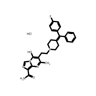 Cc1nc2c(C(N)=O)ncn2c(O)c1CCN1CCC(=C(c2ccccc2)c2ccc(F)cc2)CC1.Cl